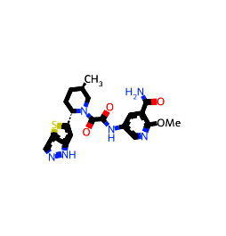 COc1ncc(NC(=O)C(=O)N2C[C@H](C)CC[C@H]2c2cc3[nH]ncc3s2)cc1C(N)=O